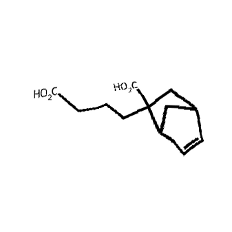 O=C(O)CCCC1(C(=O)O)CC2C=CC1C2